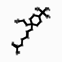 CC(C)(C)C1CCC(CC=CCCC(=O)O)(CCN)CC1